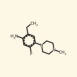 CCc1cc(N2CCN(C)CC2)c(F)cc1N